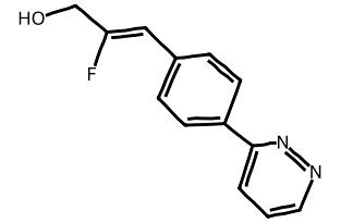 OC/C(F)=C/c1ccc(-c2cccnn2)cc1